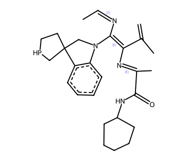 C=C(C)C(/N=C(\C)C(=O)NC1CCCCC1)=C(\N=C/C)N1CC2(CCPC2)c2ccccc21